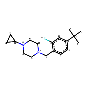 CC(C)(C)c1ccc(CN2CCN(C3CC3)CC2)c(F)c1